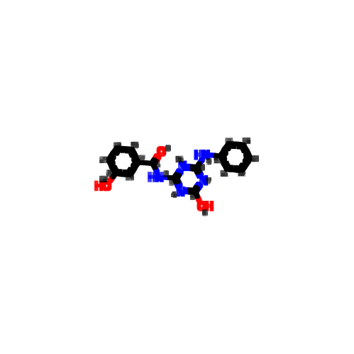 O=C(Nc1nc(O)nc(Nc2ccccc2)n1)c1cccc(O)c1